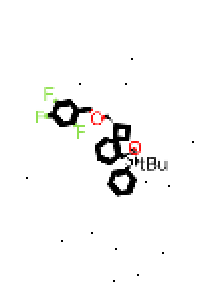 CC(C)(C)[Si](O[C@H]1C[C@@H](COCc2cc(F)c(F)cc2F)C1)(c1ccccc1)c1ccccc1